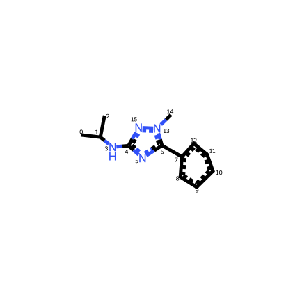 CC(C)Nc1nc(-c2ccccc2)n(C)n1